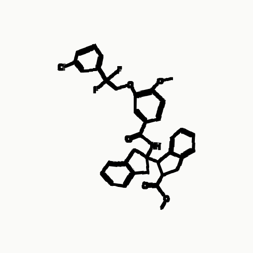 COC(=O)C1Cc2ccccc2C1C1(NC(=O)c2ccc(OC)c(OCC(F)(F)c3cccc(Cl)c3)c2)Cc2ccccc2C1